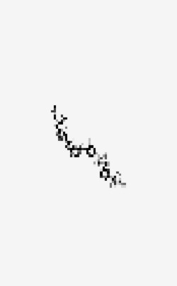 COCCN(Cc1ccc(-c2cc3nccc(Oc4ccc(NC(=O)Nc5cccc(C(N)=O)c5)cc4F)c3s2)nc1)C(=O)OC